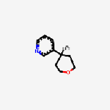 CCCC1(c2cccnc2)CCOCC1